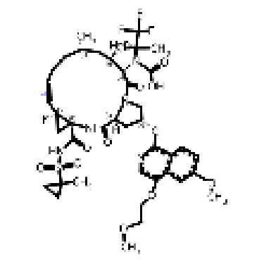 COCCOc1cnc(O[C@@H]2C[C@H]3C(=O)N[C@]4(C(=O)NS(=O)(=O)C5(C)CC5)C[C@H]4/C=C\CC[C@H](C)C[C@@H](C)[C@H](N(C(=O)O)C(C)(C)C(F)(F)F)C(=O)N3C2)c2ccc(OC)cc12